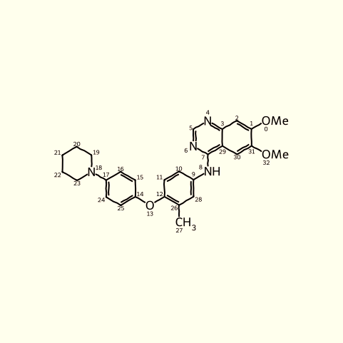 COc1cc2ncnc(Nc3ccc(Oc4ccc(N5CCCCC5)cc4)c(C)c3)c2cc1OC